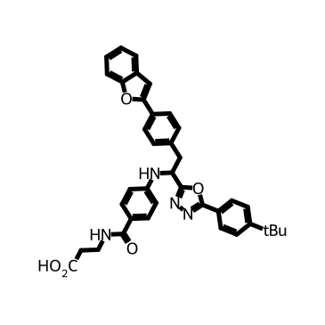 CC(C)(C)c1ccc(-c2nnc(C(Cc3ccc(-c4cc5ccccc5o4)cc3)Nc3ccc(C(=O)NCCC(=O)O)cc3)o2)cc1